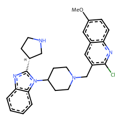 COc1ccc2nc(Cl)c(CN3CCC(n4c([C@@H]5CCNC5)nc5ccccc54)CC3)cc2c1